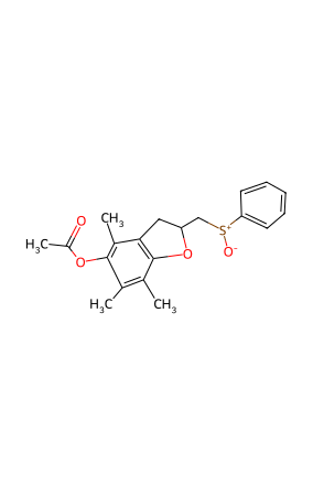 CC(=O)Oc1c(C)c(C)c2c(c1C)CC(C[S+]([O-])c1ccccc1)O2